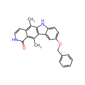 Cc1c2cc[nH]c(=O)c2c(C)c2c1[nH]c1ccc(OCc3ccccc3)cc12